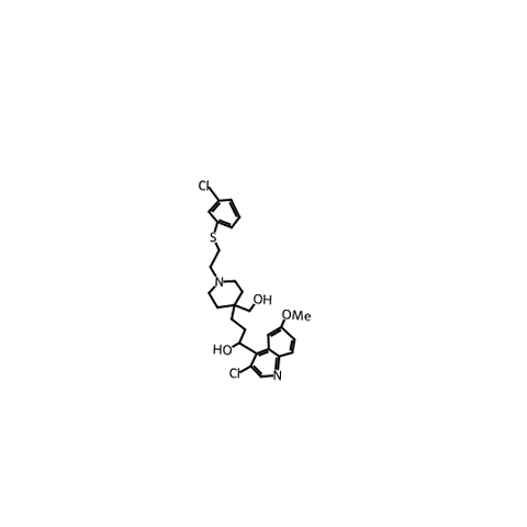 COc1ccc2ncc(Cl)c(C(O)CCC3(CO)CCN(CCSc4cccc(Cl)c4)CC3)c2c1